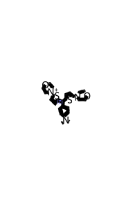 CN(C)c1ccc(/C(=C2\C=CC(=[N+]3CCOCC3)S2)c2ccc(N3CCOCC3)s2)cc1